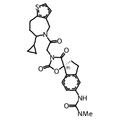 CNC(=O)Nc1ccc2c(c1)CC[C@@]21OC(=O)N(CC(=O)N2Cc3ccsc3CCC2C2CC2)C1=O